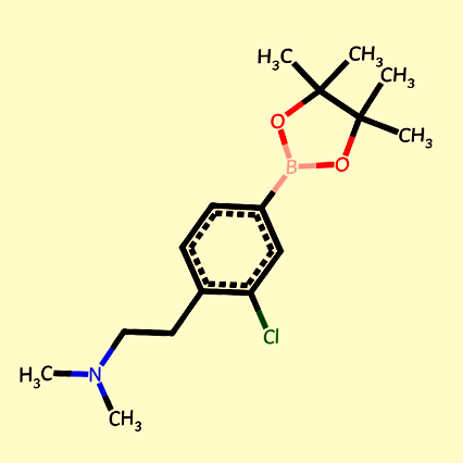 CN(C)CCc1ccc(B2OC(C)(C)C(C)(C)O2)cc1Cl